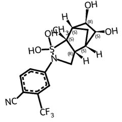 C[C@@]12[C@H]3C[C@H]([C@H](O)[C@@H]3O)[C@@H]1CN(c1ccc(C#N)c(C(F)(F)F)c1)S2(O)O